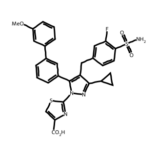 COc1cccc(-c2cccc(-c3c(Cc4ccc(S(N)(=O)=O)c(F)c4)c(C4CC4)nn3-c3nc(C(=O)O)cs3)c2)c1